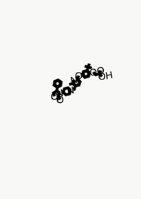 Cc1nc(Oc2ccc(OCC(=O)O)c(C(C)(C)C)c2)ccc1CN1CCC(N2C(=O)OCC2c2ccccc2)CC1